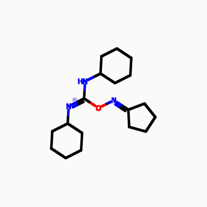 C1CCC(/N=C(/NC2CCCCC2)ON=C2CCCC2)CC1